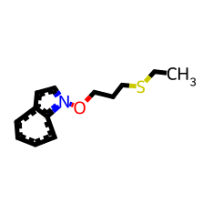 CCSCCCOn1ccc2ccccc21